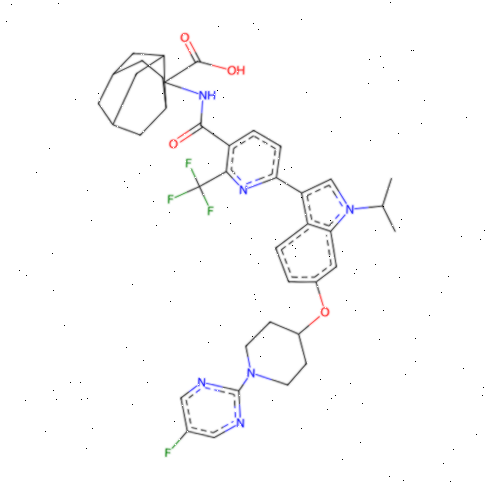 CC(C)n1cc(-c2ccc(C(=O)NC3(C(=O)O)C4CCC5CC(C4)CC3C5)c(C(F)(F)F)n2)c2ccc(OC3CCN(c4ncc(F)cn4)CC3)cc21